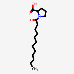 CCCCCCCCCCCC(=O)N1CCCC1C(=O)O